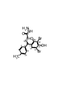 Cc1ccc(C(=NCC(=O)NN)c2cc(Br)c(O)c(Br)c2O)cc1